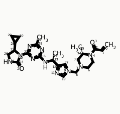 C=CC(=O)N1CCN(Cn2cnc([C@H](C)Nc3nc(C)nc(N4C(=O)NCC4C4CC4)n3)c2)C[C@@H]1C